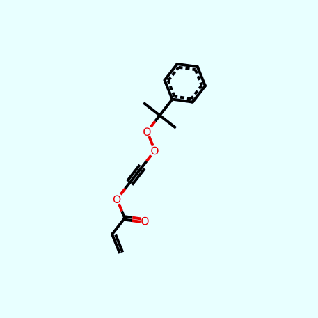 C=CC(=O)OC#COOC(C)(C)c1ccccc1